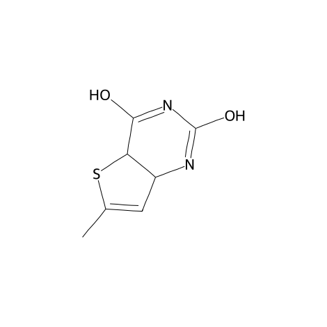 CC1=CC2N=C(O)N=C(O)C2S1